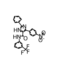 O=C(Nc1cccc(C(F)(F)F)c1)c1[nH]c(-c2ccccc2)nc1-c1ccc([N+](=O)[O-])cc1